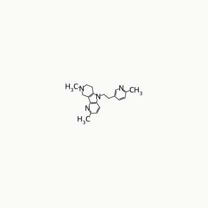 Cc1ccc(CCn2c3c(c4nc(C)ccc42)CN(C)CC3)cn1